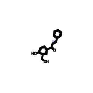 O=C(/C=C/c1ccccc1)c1ccc(O)c(CO)c1